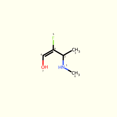 CNC(C)/C(F)=C\O